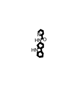 O=C(Nc1ccc2c(c1)[nH]c1ccccc12)c1ccccn1